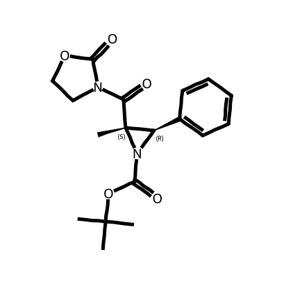 CC(C)(C)OC(=O)N1[C@H](c2ccccc2)[C@@]1(C)C(=O)N1CCOC1=O